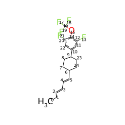 CCC=CC=CC1CCC(c2cc(F)c(OC(F)(F)F)c(F)c2)CC1